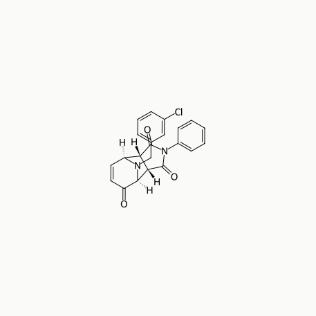 O=C1C=C[C@H]2[C@@H]3C(=O)N(c4ccccc4)C(=O)[C@@H]3[C@@H]1N2Cc1cccc(Cl)c1